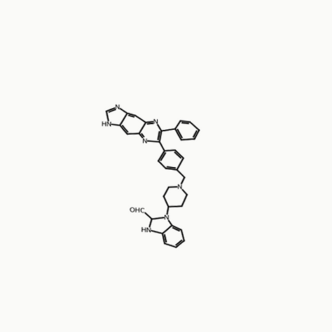 O=CC1Nc2ccccc2N1C1CCN(Cc2ccc(-c3nc4cc5[nH]cnc5cc4nc3-c3ccccc3)cc2)CC1